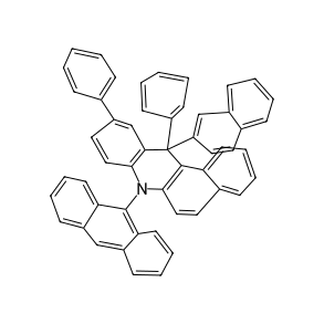 c1ccc(-c2ccc3c(c2)C(c2ccccc2)(c2ccc4ccccc4c2)c2c(ccc4ccccc24)N3c2c3ccccc3cc3ccccc23)cc1